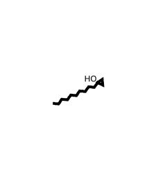 CCCCCCCCCCC1(O)CC1